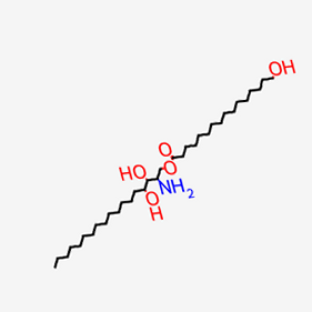 CCCCCCCCCCCCCCC(O)C(O)C(N)COC(=O)CCCCCCCCCCCCCCCO